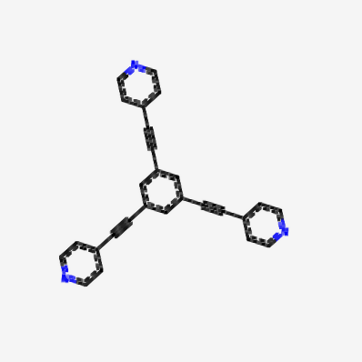 C(#Cc1cc(C#Cc2ccncc2)cc(C#Cc2ccncc2)c1)c1ccncc1